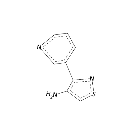 Nc1csnc1-c1cccnc1